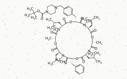 CC(C)C[C@H]1C(=O)O[C@H](Cc2ccc(CN3CCN(C(=O)OC(C)(C)C)CC3)cc2)C(=O)N(C)[C@@H](CC(C)C)C(=O)O[C@H](C)C(=O)N(C)[C@@H](CC(C)C)C(=O)O[C@H](Cc2ccccc2)C(=O)N(C)[C@@H](CC(C)C)C(=O)O[C@H](C)C(=O)N1C